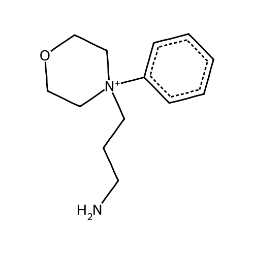 NCCC[N+]1(c2ccccc2)CCOCC1